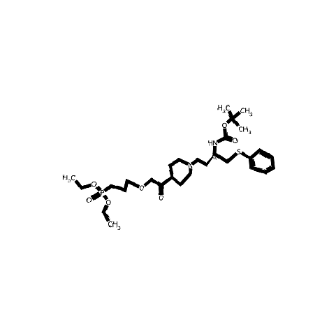 CCOP(=O)(CCCOCC(=O)C1CCN(CC[C@H](CSc2ccccc2)NC(=O)OC(C)(C)C)CC1)OCC